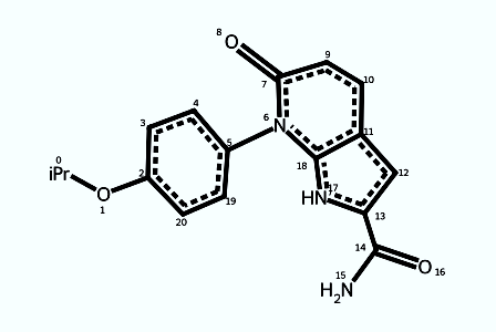 CC(C)Oc1ccc(-n2c(=O)ccc3cc(C(N)=O)[nH]c32)cc1